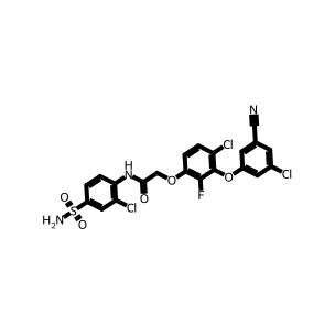 N#Cc1cc(Cl)cc(Oc2c(Cl)ccc(OCC(=O)Nc3ccc(S(N)(=O)=O)cc3Cl)c2F)c1